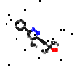 Cc1cc(-c2ccccc2)nnc1C#CC(C)(C)O